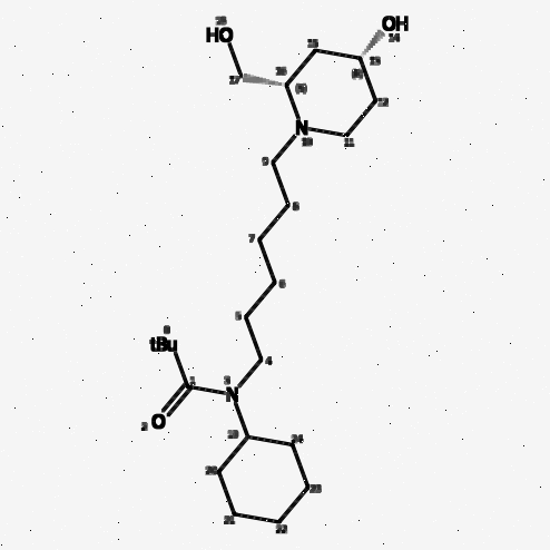 CC(C)(C)C(=O)N(CCCCCCN1CC[C@@H](O)C[C@H]1CO)C1CCCCC1